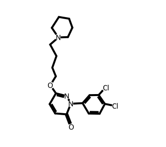 O=c1ccc(OCCCCN2CCCCC2)nn1-c1ccc(Cl)c(Cl)c1